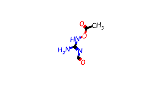 CC(=O)ONC(N)=NC=O